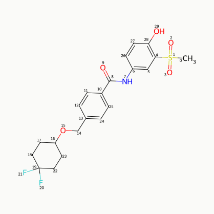 CS(=O)(=O)c1cc(NC(=O)c2ccc(COC3CCC(F)(F)CC3)cc2)ccc1O